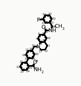 C[C@H](NC(=O)c1ccc2c(c1)CCCN2Cc1ccc(-c2ccccc2C(N)=O)cc1)c1cccc(F)c1